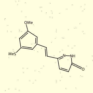 COc1cc(C=Cc2ccc(=O)[nH]n2)cc(SC)c1